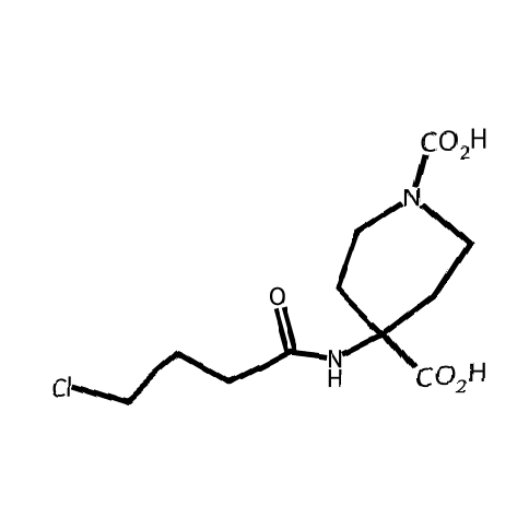 O=C(CCCCl)NC1(C(=O)O)CCN(C(=O)O)CC1